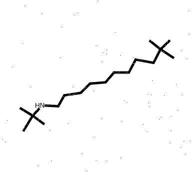 CC(C)(C)CCCCCCCCCNC(C)(C)C